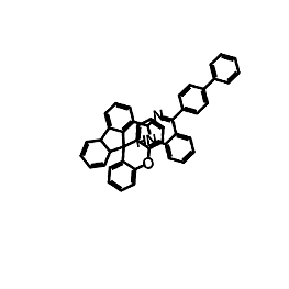 C1=CC2c3cccc(C4N=C(c5ccc(-c6ccccc6)cc5)c5ccccc5N4)c3C3(c4ccccc4Oc4ccccc43)C2C=C1